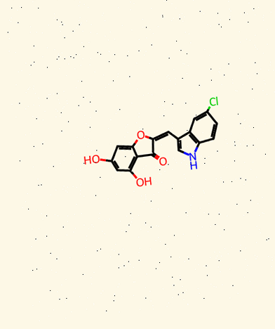 O=C1C(=Cc2c[nH]c3ccc(Cl)cc23)Oc2cc(O)cc(O)c21